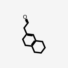 O=CCC1=CC2=C(CCCC2)CC1